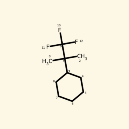 CC(C)(C1CCCCC1)C(F)(F)F